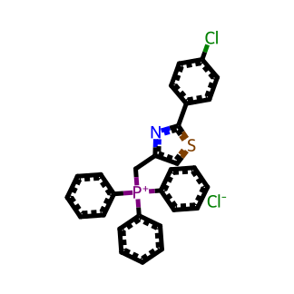 Clc1ccc(-c2nc(C[P+](c3ccccc3)(c3ccccc3)c3ccccc3)cs2)cc1.[Cl-]